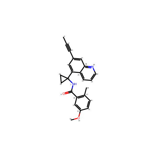 CC#Cc1cc(C2(NC(=O)c3cc(OC)ccc3C)CC2)c2cccnc2c1